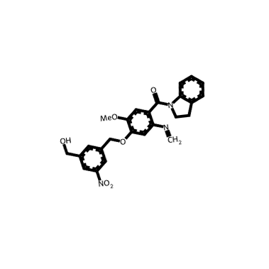 C=Nc1cc(OCc2cc(CO)cc([N+](=O)[O-])c2)c(OC)cc1C(=O)N1CCc2ccccc21